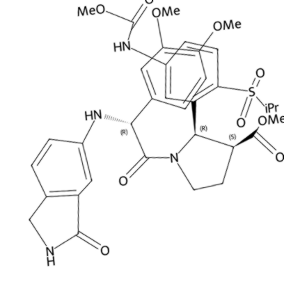 COC(=O)Nc1ccc(S(=O)(=O)C(C)C)c([C@H]2[C@@H](C(=O)OC)CCN2C(=O)[C@H](Nc2ccc3c(c2)C(=O)NC3)c2ccc(OC)c(OC)c2)c1